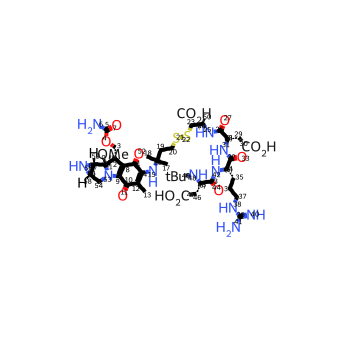 CO[C@@]12[C@H](COC(N)=O)C3=C(C(=O)C(C)=C(NC(C)(C)CCSSC[C@H](NC(=O)[C@H](CC(=O)O)NC(=O)[C@H](CCCNC(=N)N)NC(=O)[C@H](CC(=O)O)NC(C)(C)C)C(=O)O)C3=O)N1C[C@@H]1N[C@@H]12